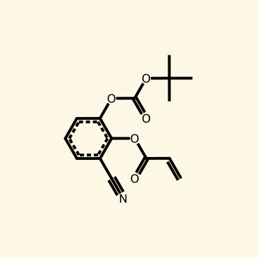 C=CC(=O)Oc1c(C#N)cccc1OC(=O)OC(C)(C)C